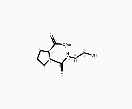 COC(=O)[C@@H]1CCCN1C(=O)PNBO